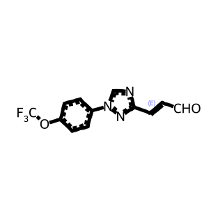 O=C/C=C/c1ncn(-c2ccc(OC(F)(F)F)cc2)n1